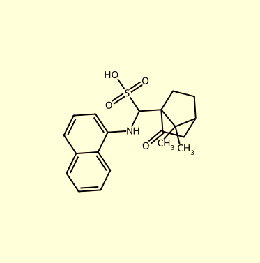 CC1(C)C2CCC1(C(Nc1cccc3ccccc13)S(=O)(=O)O)C(=O)C2